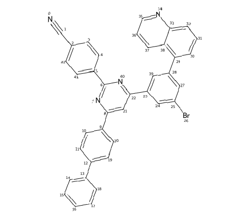 N#Cc1ccc(-c2nc(-c3ccc(-c4ccccc4)cc3)cc(-c3cc(Br)cc(-c4cccc5ncccc45)c3)n2)cc1